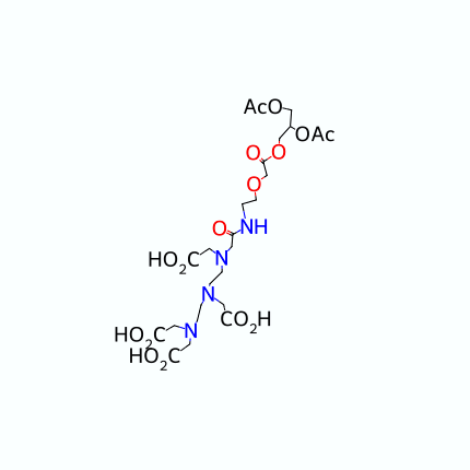 CC(=O)OCC(COC(=O)COCCNC(=O)CN(CCN(CCN(CC(=O)O)CC(=O)O)CC(=O)O)CC(=O)O)OC(C)=O